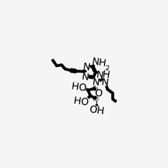 CCCCC#Cc1nc(N)c2nc(NCCCC)n([C@@H]3O[C@H](CO)C(O)C3O)c2n1